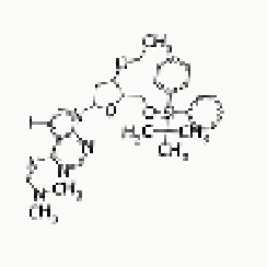 CCOC1CC(n2cc(I)c3c(/N=C\N(C)C)ncnc32)OC1CO[Si](c1ccccc1)(c1ccccc1)C(C)(C)C